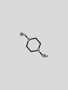 CCC(C)N1CCN(C(C)CC)CC1